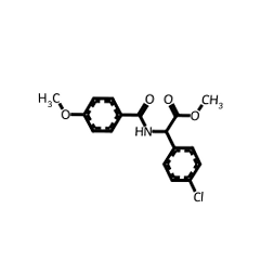 COC(=O)C(NC(=O)c1ccc(OC)cc1)c1ccc(Cl)cc1